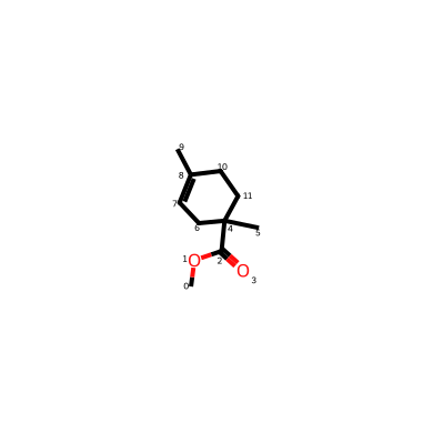 COC(=O)C1(C)CC=C(C)CC1